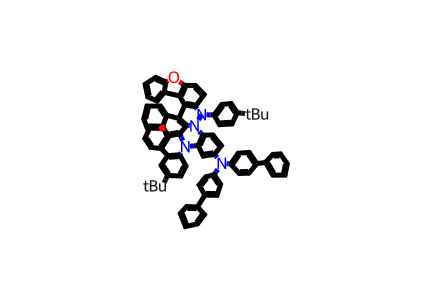 CC(C)(C)c1ccc(N2c3ccc4oc5ccccc5c4c3-c3c4c(cc5ccccc35)N(c3ccc(C(C)(C)C)cc3-c3ccccc3)c3cc(N(c5ccc(-c6ccccc6)cc5)c5ccc(-c6ccccc6)cc5)ccc3N42)cc1